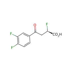 O=C(C[C@@H](F)C(=O)O)c1ccc(F)c(F)c1